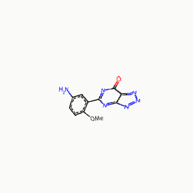 COc1ccc(N)cc1C1=NC(=O)C2=NN=NC2=N1